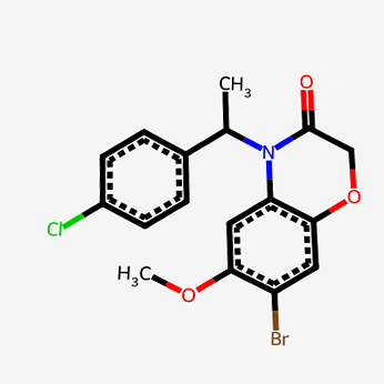 COc1cc2c(cc1Br)OCC(=O)N2C(C)c1ccc(Cl)cc1